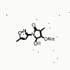 COC1=C(C)C(=O)N(c2cc(C)on2)C1O